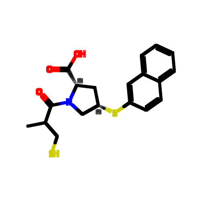 CC(CS)C(=O)N1C[C@@H](Sc2ccc3ccccc3c2)C[C@H]1C(=O)O